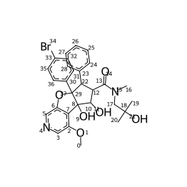 COc1cncc2c1C1(O)C(O)C(C(=O)N(C)CC(C)(C)O)C(c3ccccc3)C1(c1ccc(Br)cc1)O2